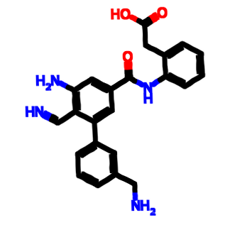 N=Cc1c(N)cc(C(=O)Nc2ccccc2CC(=O)O)cc1-c1cccc(CN)c1